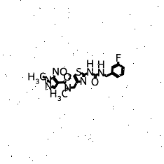 CN(Cc1csc(NC(=O)NCc2cccc(F)c2)n1)C(=O)c1cnn(C)c1[N+](=O)[O-]